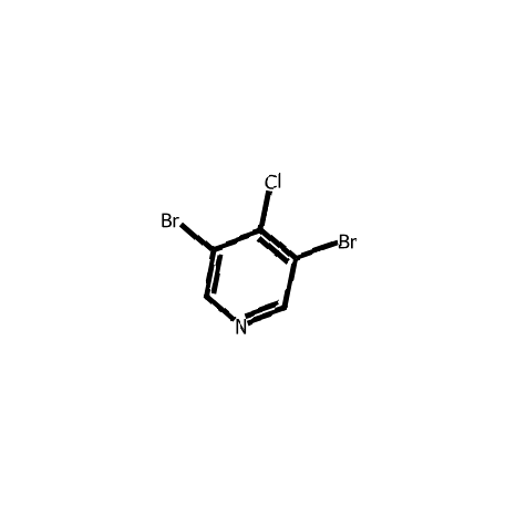 Clc1c(Br)cncc1Br